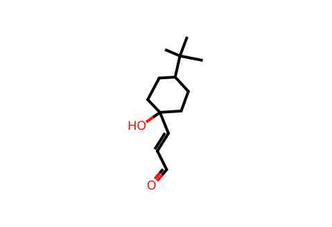 CC(C)(C)C1CCC(O)(C=CC=O)CC1